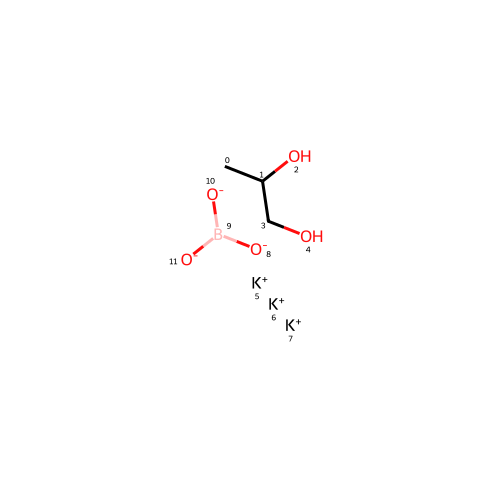 CC(O)CO.[K+].[K+].[K+].[O-]B([O-])[O-]